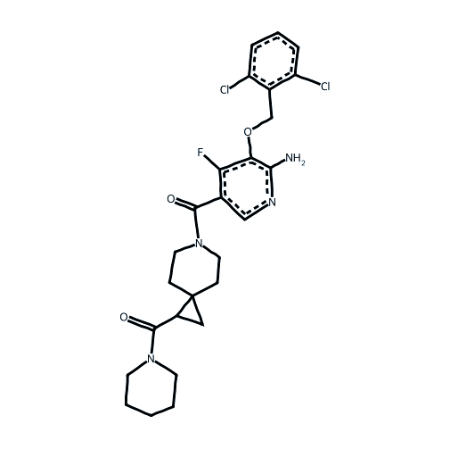 Nc1ncc(C(=O)N2CCC3(CC2)CC3C(=O)N2CCCCC2)c(F)c1OCc1c(Cl)cccc1Cl